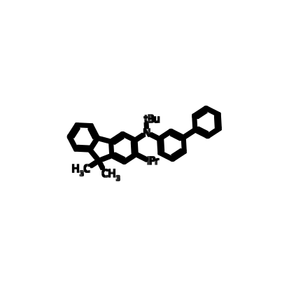 CC(C)c1cc2c(cc1N(c1cccc(-c3ccccc3)c1)C(C)(C)C)-c1ccccc1C2(C)C